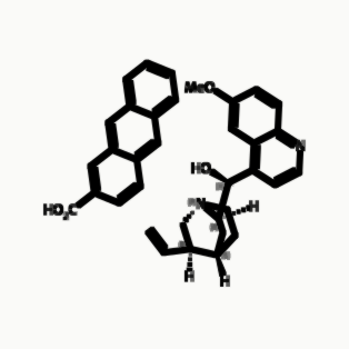 C=C[C@H]1C[N@]2CC[C@H]1C[C@@H]2[C@@H](O)c1ccnc2ccc(OC)cc12.O=C(O)c1ccc2cc3ccccc3cc2c1